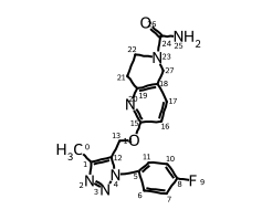 Cc1nnn(-c2ccc(F)cc2)c1COc1ccc2c(n1)CCN(C(N)=O)C2